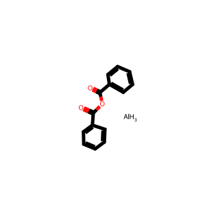 O=C(OC(=O)c1ccccc1)c1ccccc1.[AlH3]